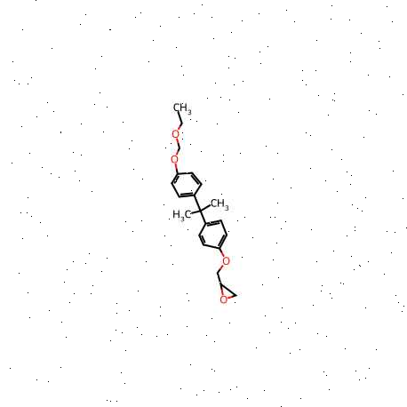 CCOCOc1ccc(C(C)(C)c2ccc(OCC3CO3)cc2)cc1